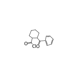 O=C(Cl)C1CCCCC1C(=O)c1ccccc1